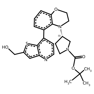 CC(C)(C)OC(=O)N1CC[C@H](N2CCOc3cccc(-c4ccnc5cc(CO)sc45)c32)C1